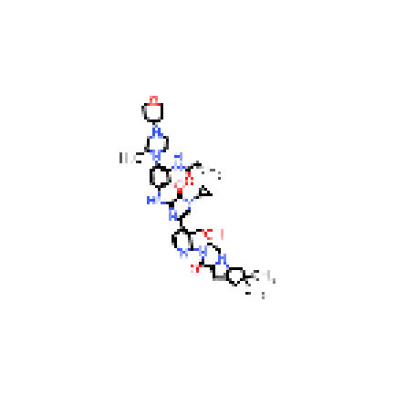 C=CC(=O)Nc1cc(Nc2nc(-c3ccnc(N4CCn5c(cc6c5CC(C)(C)C6)C4=O)c3CO)cn(C3CC3)c2=O)ccc1N1CCN(C2CCOCC2)C[C@@H]1C